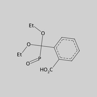 CCOC(OCC)(P=O)c1ccccc1C(=O)O